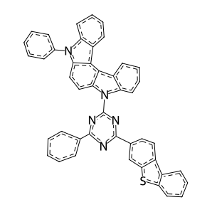 c1ccc(-c2nc(-c3ccc4c(c3)sc3ccccc34)nc(-n3c4ccccc4c4c5c6ccccc6n(-c6ccccc6)c5ccc43)n2)cc1